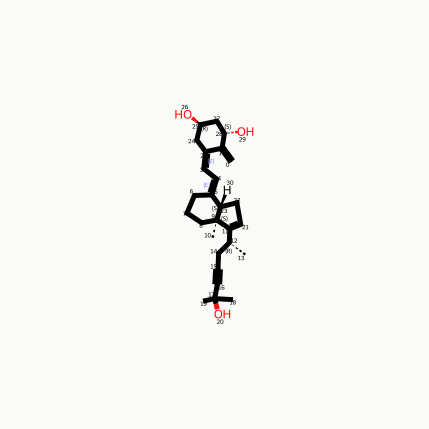 C=C1/C(=C\C=C2/CCC[C@]3(C)C([C@H](C)CC#CC(C)(C)O)=CC[C@@H]23)C[C@@H](O)C[C@@H]1O